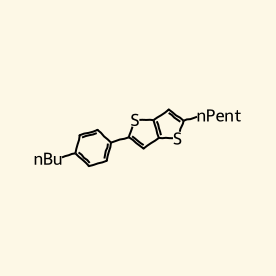 CCCCCc1cc2sc(-c3ccc(CCCC)cc3)cc2s1